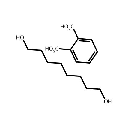 O=C(O)c1ccccc1C(=O)O.OCCCCCCCCO